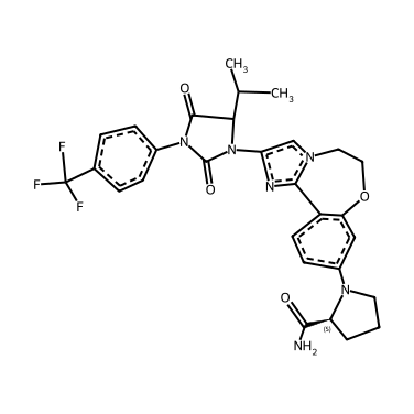 CC(C)C1C(=O)N(c2ccc(C(F)(F)F)cc2)C(=O)N1c1cn2c(n1)-c1ccc(N3CCC[C@H]3C(N)=O)cc1OCC2